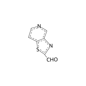 O=Cc1nc2cnccc2s1